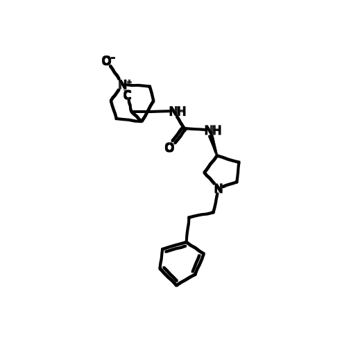 O=C(NC1C[N+]2([O-])CCC1CC2)N[C@H]1CCN(CCc2ccccc2)C1